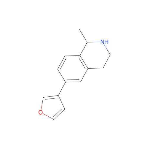 CC1NCCc2cc(-c3ccoc3)ccc21